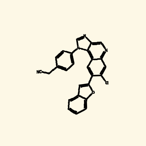 N#CCc1ccc(-n2cnc3cnc4cc(Cl)c(-c5cc6ccccc6o5)cc4c32)cc1